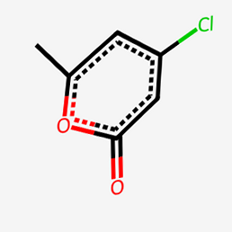 Cc1cc(Cl)cc(=O)o1